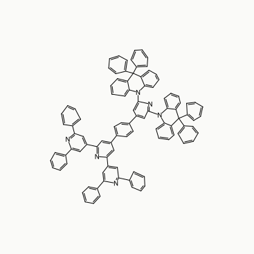 c1ccc(-c2cc(-c3cc(-c4ccc(-c5cc(N6c7ccccc7C(c7ccccc7)(c7ccccc7)c7ccccc76)nc(N6c7ccccc7C(c7ccccc7)(c7ccccc7)c7ccccc76)c5)cc4)cc(-c4cc(-c5ccccc5)nc(-c5ccccc5)c4)n3)cc(-c3ccccc3)n2)cc1